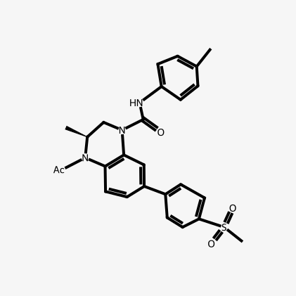 CC(=O)N1c2ccc(-c3ccc(S(C)(=O)=O)cc3)cc2N(C(=O)Nc2ccc(C)cc2)C[C@@H]1C